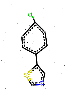 Clc1ccc(-c2cn[c]s2)cc1